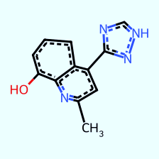 Cc1cc(-c2nc[nH]n2)c2cccc(O)c2n1